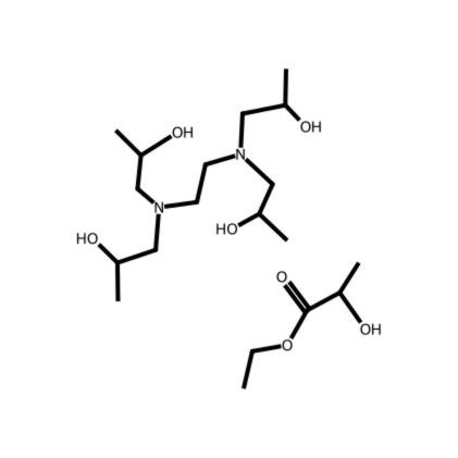 CC(O)CN(CCN(CC(C)O)CC(C)O)CC(C)O.CCOC(=O)C(C)O